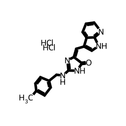 Cc1ccc(CNC2=NC(=Cc3c[nH]c4ncccc34)C(=O)N2)cc1.Cl.Cl